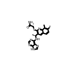 Cc1c(F)ccc2cc([C@H](C)Nc3ncnc4[nH]cnc34)c(SCC(N)=O)nc12